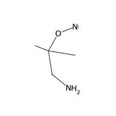 CC(C)(CN)O[N]